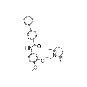 COc1ccc(NC(=O)c2ccc(-c3ccccc3)cc2)cc1OCCN1[C@H](C)CCC[C@@H]1C